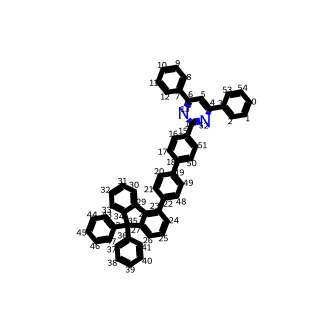 c1ccc(-c2cc(-c3ccccc3)nc(-c3ccc(-c4ccc(-c5cccc6c5-c5ccccc5C6(c5ccccc5)c5ccccc5)cc4)cc3)n2)cc1